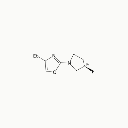 CCc1coc(N2CC[C@@H](F)C2)n1